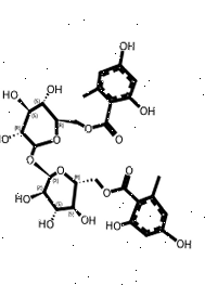 Cc1cc(O)cc(O)c1C(=O)OC[C@H]1O[C@H](OC2O[C@H](COC(=O)c3c(C)cc(O)cc3O)[C@@H](O)[C@H](O)[C@H]2O)[C@H](O)[C@@H](O)[C@@H]1O